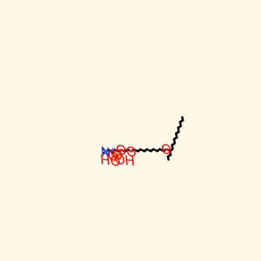 CCCCCCCCCCCCC(CCC)OCCCCCCCCCCOCCOCCC(C[N+](C)(C)C)OP(=O)(O)O